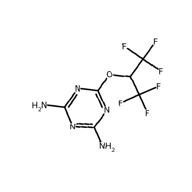 Nc1nc(N)nc(OC(C(F)(F)F)C(F)(F)F)n1